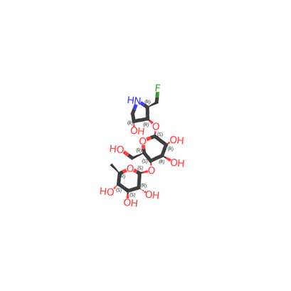 C[C@H]1O[C@@H](O[C@H]2[C@H](O)[C@@H](O)[C@@H](O[C@H]3[C@H](O)CN[C@H]3CF)O[C@@H]2CO)[C@H](O)[C@@H](O)[C@@H]1O